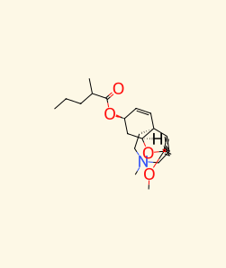 CCCC(C)C(=O)O[C@H]1C=C[C@@]23CCN(C)Cc4ccc(OC)c(c42)O[C@H]3C1